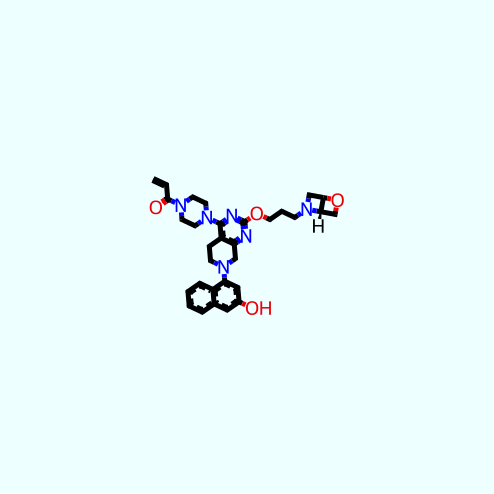 C=CC(=O)N1CCN(c2nc(OCCCN3CC4OC[C@@H]43)nc3c2CCN(c2cc(O)cc4ccccc24)C3)CC1